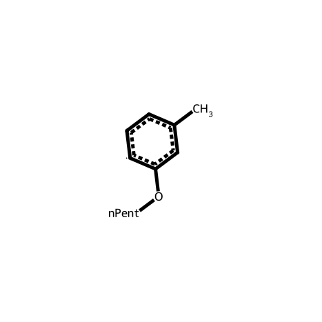 CCCCCOc1[c]ccc(C)c1